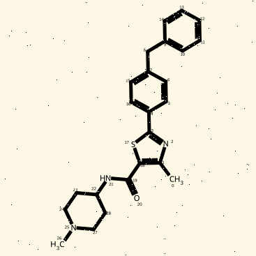 Cc1nc(-c2ccc(Cc3ccccc3)cc2)sc1C(=O)NC1CCN(C)CC1